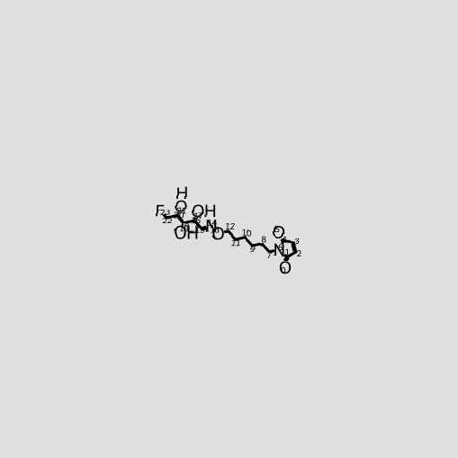 O=C1C=CC(=O)N1CCCCCCO/N=C/[C@H](O)[C@H](O)[C@H](O)CF